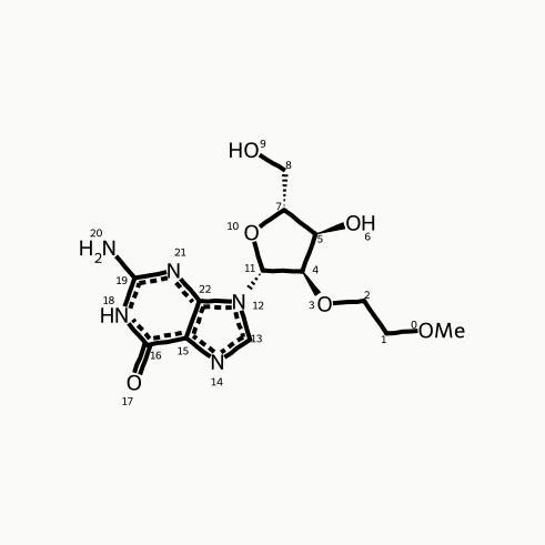 COCCO[C@@H]1[C@H](O)[C@@H](CO)O[C@H]1n1cnc2c(=O)[nH]c(N)nc21